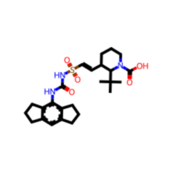 CC(C)(C)C1C(C=CS(=O)(=O)NC(=O)Nc2c3c(cc4c2CCC4)CCC3)CCCN1C(=O)O